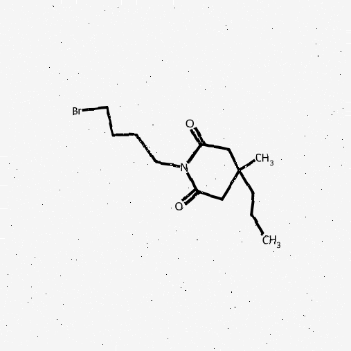 CCCC1(C)CC(=O)N(CCCCBr)C(=O)C1